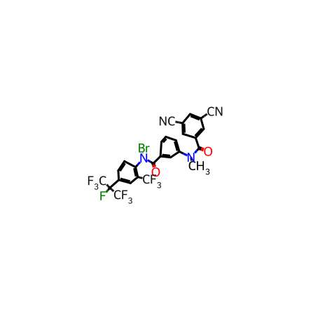 CN(C(=O)c1cc(C#N)cc(C#N)c1)c1cccc(C(=O)N(Br)c2ccc(C(F)(C(F)(F)F)C(F)(F)F)cc2C(F)(F)F)c1